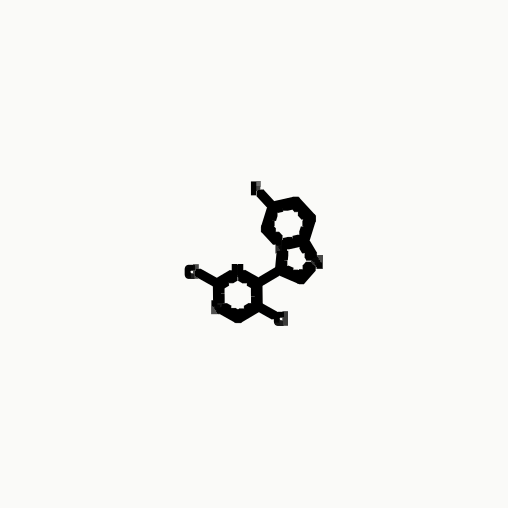 Fc1ccc2ncc(-c3nc(Cl)ncc3Cl)n2c1